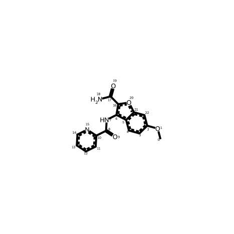 COc1ccc2c(NC(=O)c3ccccn3)c(C(N)=O)oc2c1